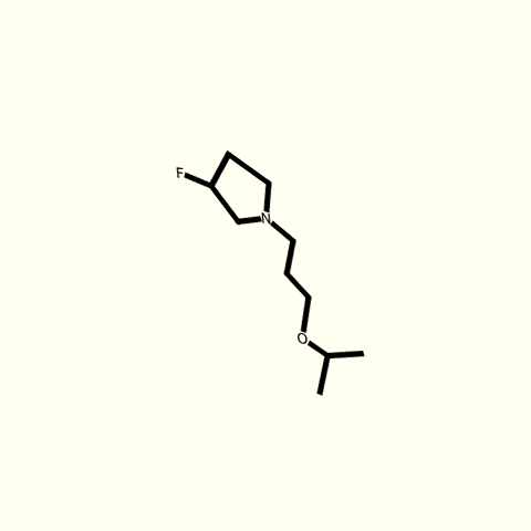 CC(C)OCCCN1CCC(F)C1